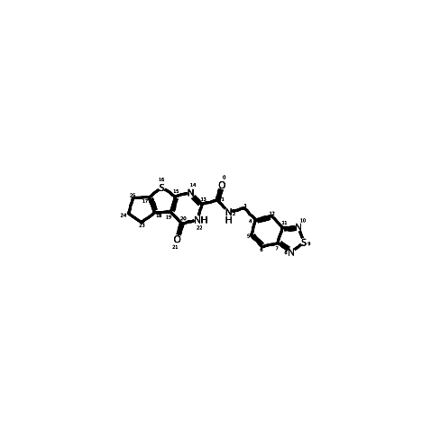 O=C(NCc1ccc2nsnc2c1)c1nc2sc3c(c2c(=O)[nH]1)CCC3